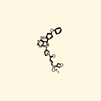 CN(C/C=C/C(=O)N1CC[C@@H](n2nc(-c3ccc(Oc4ccccc4)cc3)c3c(N)ncnc32)C1)C1COC1